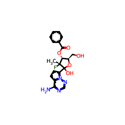 C[C@@]1(F)[C@H](OC(=O)c2ccccc2)[C@@H](CO)OC1(O)c1ccc2c(N)ncnn12